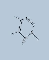 C=C1C(C)=C(C)N=CN1C